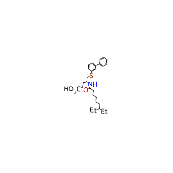 CCC(CC)CCCCCC(=O)N[C@@H](CCC(=O)O)CSc1cccc(-c2ccccc2)c1